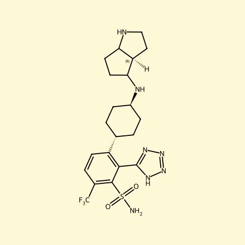 NS(=O)(=O)c1c(C(F)(F)F)ccc([C@H]2CC[C@H](NC3CCC4NCC[C@H]43)CC2)c1-c1nnn[nH]1